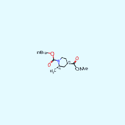 CCCCOC(=O)N1CC[C@@H](C(=O)OC)C[C@H]1C